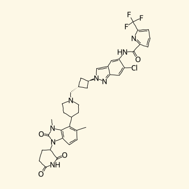 Cc1ccc2c(c1C1CCN(C[C@H]3C[C@H](n4cc5cc(NC(=O)c6cccc(C(F)(F)F)n6)c(Cl)cc5n4)C3)CC1)n(C)c(=O)n2C1CCC(=O)NC1=O